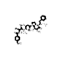 CC[C@H](C)[C@@H]([C@@H](CC(=O)N1CCC[C@H]1[C@H](OC)[C@@H](C)C(=O)N[C@@H](Cc1ccccc1)C(=O)O)OC)N(C)C(=O)C(NC(=O)c1ccc(NC)cc1)C(C)C